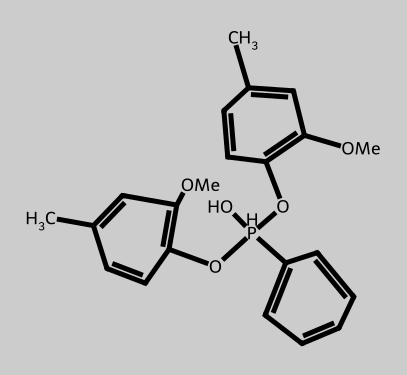 COc1cc(C)ccc1O[PH](O)(Oc1ccc(C)cc1OC)c1ccccc1